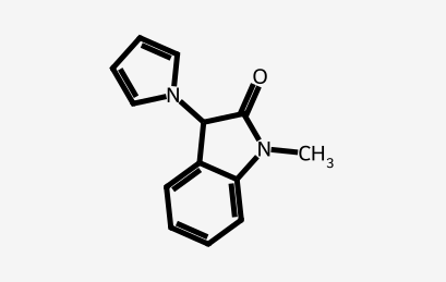 CN1C(=O)C(n2cccc2)c2ccccc21